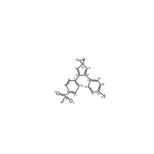 CS(=O)(=O)c1ccc(C2=CC3(C=C2c2ccc(I)cc2)CC3)cc1